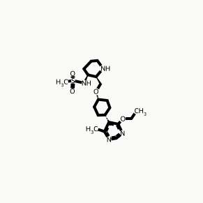 CCOc1ncnc(C)c1[C@H]1CC[C@@H](OC[C@@H]2NCCC[C@@H]2NS(C)(=O)=O)CC1